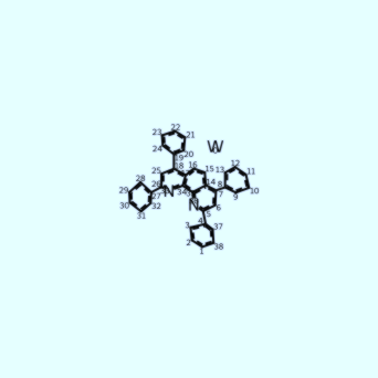 [W].c1ccc(-c2cc(-c3ccccc3)c3ccc4c(-c5ccccc5)cc(-c5ccccc5)nc4c3n2)cc1